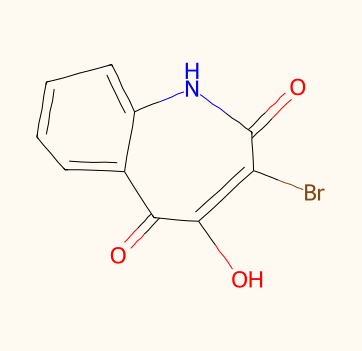 O=c1[nH]c2ccccc2c(=O)c(O)c1Br